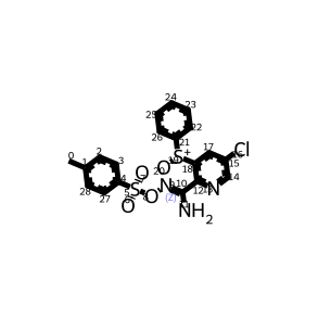 Cc1ccc(S(=O)(=O)O/N=C(\N)c2ncc(Cl)cc2[S+]([O-])c2ccccc2)cc1